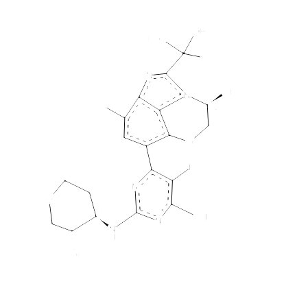 Cc1nc(N[C@@H]2CCOC[C@H]2O)nc(-c2cc(F)c3nc(C(C)(C)O)n4c3c2OC[C@@H]4C)c1F